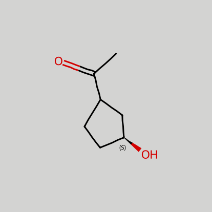 CC(=O)C1CC[C@H](O)C1